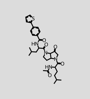 CC(=O)NC(CCC(C)C)C(=O)N1CC(=O)C2C1CCN2C(=O)C(CC(C)C)NC(=O)c1ccc(-c2cccs2)cc1